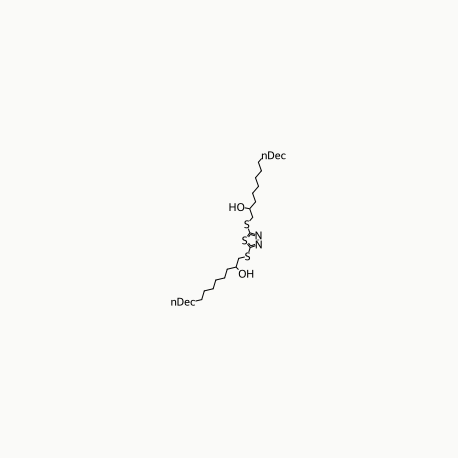 CCCCCCCCCCCCCCCCC(O)CSc1nnc(SCC(O)CCCCCCCCCCCCCCCC)s1